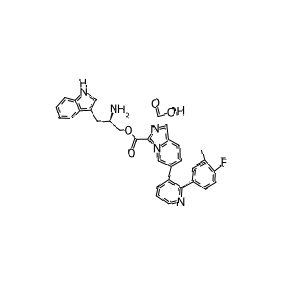 Cc1cc(-c2ncccc2-c2ccc3cnc(C(=O)OC[C@H](N)Cc4c[nH]c5ccccc45)n3c2)ccc1F.O=CO